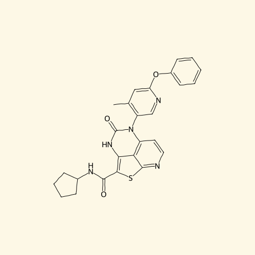 Cc1cc(Oc2ccccc2)ncc1N1C(=O)Nc2c(C(=O)NC3CCCC3)sc3nccc1c23